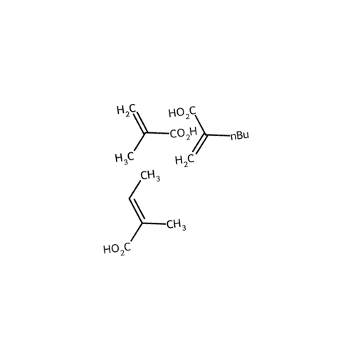 C=C(C)C(=O)O.C=C(CCCC)C(=O)O.CC=C(C)C(=O)O